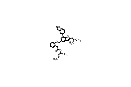 COCC(C)OC(=O)Cc1ccccc1OCc1cc(-c2ccnc(CN)c2)c2oc(CC(C)C)cc2c1